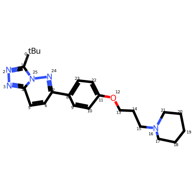 CC(C)(C)c1nnc2ccc(-c3ccc(OCCCN4CCCCC4)cc3)nn12